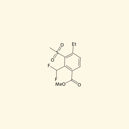 CCc1ccc(C(=O)OC)c(C(F)F)c1S(C)(=O)=O